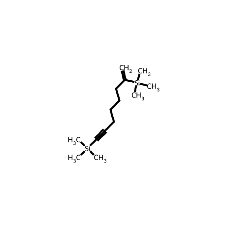 C=C(CCCCC#C[Si](C)(C)C)[Si](C)(C)C